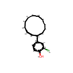 Oc1ccc(C2CCCCCCCCCCC2)cc1Br